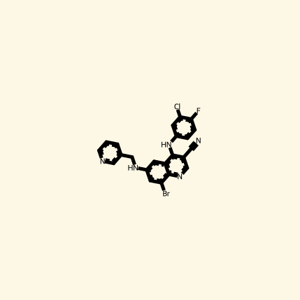 N#Cc1cnc2c(Br)cc(NCc3cccnc3)cc2c1Nc1ccc(F)c(Cl)c1